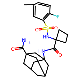 Cc1ccc(F)c(S(=O)(=O)NC2(C(=O)NC34CC5CC(C3)CC(C(N)=O)(C5)C4)CCC2)c1